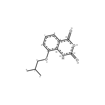 CC(C)COc1cccc2c(=O)oc(=O)[nH]c12